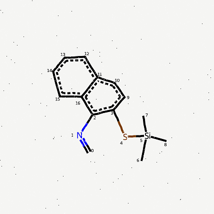 C=Nc1c(S[Si](C)(C)C)ccc2ccccc12